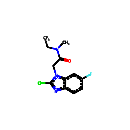 CN(CC(F)(F)F)C(=O)Cn1c(Cl)nc2ccc(F)cc21